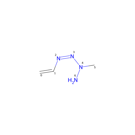 C=C/N=N\N(C)N